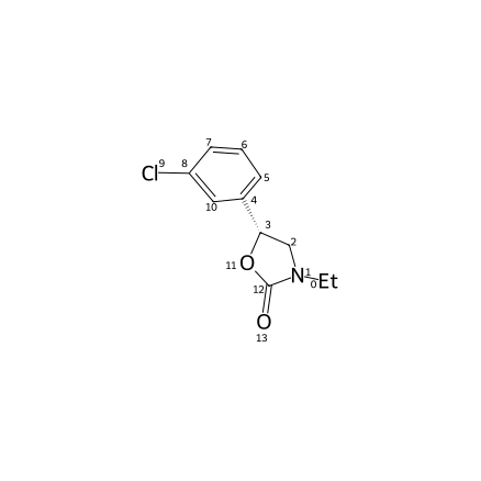 CCN1C[C@@H](c2cccc(Cl)c2)OC1=O